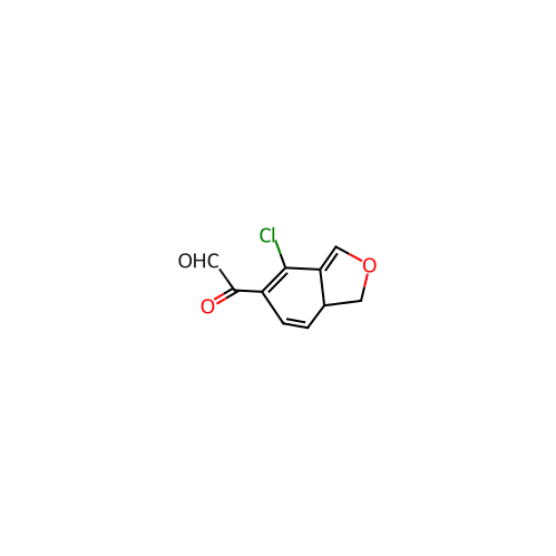 O=CC(=O)C1=C(Cl)C2=COCC2C=C1